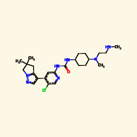 CNCCN(C)C1CCC(NC(=O)Nc2cc(-c3cnn4c3CC(C)(C)C4)c(Cl)cn2)CC1